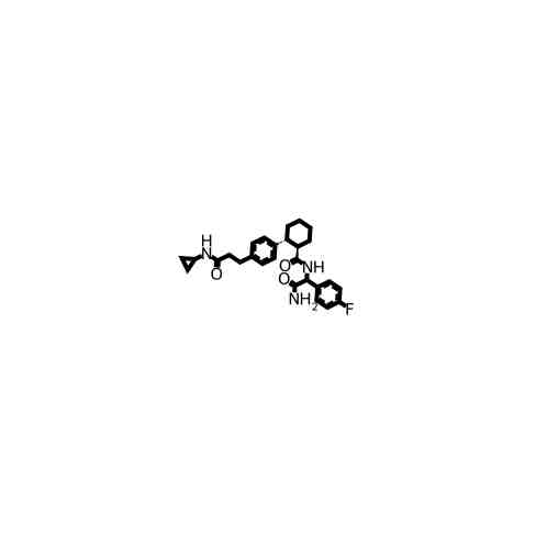 NC(=O)C(NC(=O)[C@@H]1CCCC[C@H]1c1ccc(CCC(=O)NC2CC2)cc1)c1ccc(F)cc1